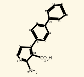 Nc1nccc(-c2ccc(-c3ccccc3)cc2)c1C(=O)O